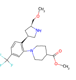 COC[C@@H]1C[C@H](c2ccc(C(F)(F)F)cc2N2CCC(C(=O)OC)CC2)CN1